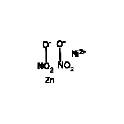 O=[N+]([O-])[O-].O=[N+]([O-])[O-].[Ni+2].[Zn]